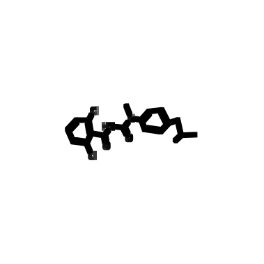 CC(C)Cc1ccc(N(C)C(=O)NC(=O)c2c(Cl)cccc2Cl)cc1